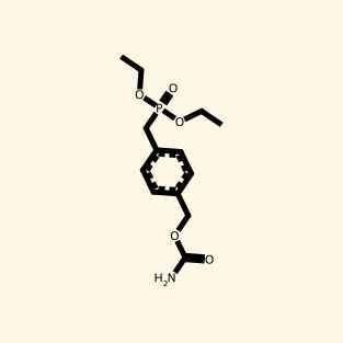 CCOP(=O)(Cc1ccc(COC(N)=O)cc1)OCC